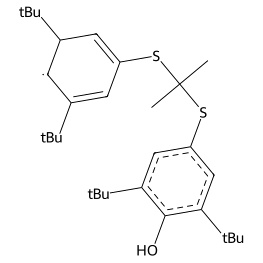 CC(C)(SC1=CC(C(C)(C)C)[CH]C(C(C)(C)C)=C1)Sc1cc(C(C)(C)C)c(O)c(C(C)(C)C)c1